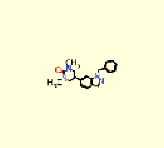 CN1CC(c2ccc3cnn(Cc4ccccc4)c3c2)CN(C)C1=O